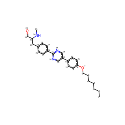 CCCCCCCOc1ccc(-c2cnc(-c3ccc(CC(C=O)NC)cc3)nc2)cc1